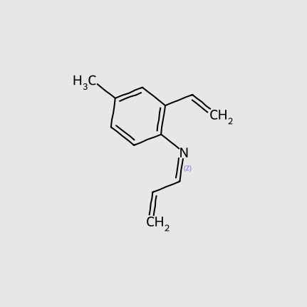 C=C/C=N\c1ccc(C)cc1C=C